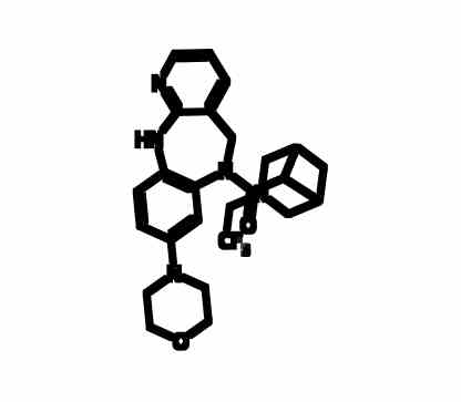 O=C(C1C2CC1CN(CC(F)(F)F)C2)N1Cc2cccnc2Nc2ccc(N3CCOCC3)cc21